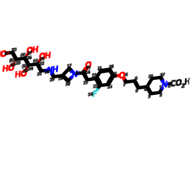 O=C(O)N1CCC(CCCOc2ccc(CC(=O)N3CC(CNC[C@H](O)[C@@H](O)[C@H](O)[C@H](O)CO)C3)c(F)c2)CC1